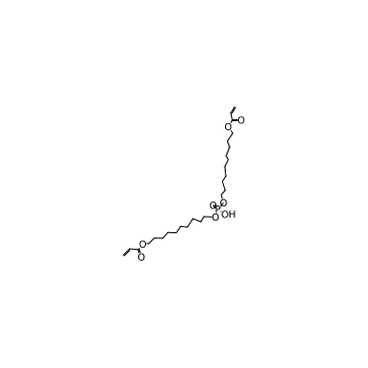 C=CC(=O)OCCCCCCCCCCOP(=O)(O)OCCCCCCCCCCOC(=O)C=C